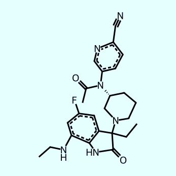 CCNc1cc(F)cc2c1NC(=O)C2(CC)N1CCC[C@@H](N(C(C)=O)c2ccc(C#N)nc2)C1